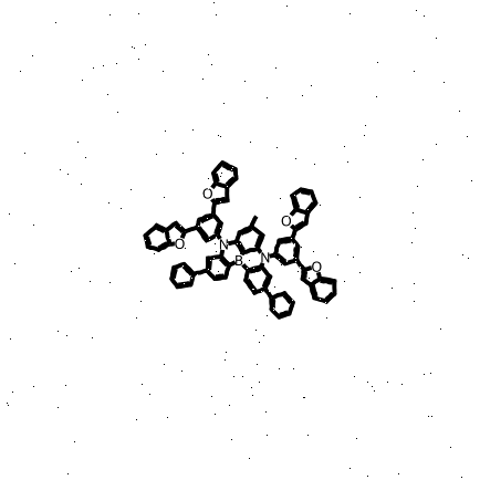 Cc1cc2c3c(c1)N(c1cc(-c4cc5ccccc5o4)cc(-c4cc5ccccc5o4)c1)c1cc(-c4ccccc4)ccc1B3c1ccc(-c3ccccc3)cc1N2c1cc(-c2cc3ccccc3o2)cc(-c2cc3ccccc3o2)c1